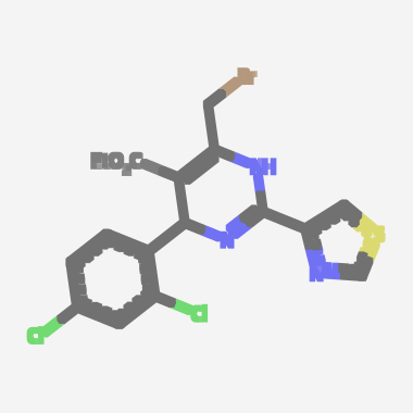 CCOC(=O)C1=C(CBr)NC(c2cscn2)=NC1c1ccc(Cl)cc1Cl